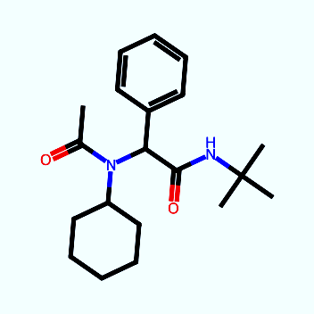 CC(=O)N(C1CCCCC1)C(C(=O)NC(C)(C)C)c1ccccc1